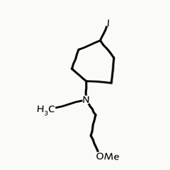 COCCN(C)C1CCC(I)CC1